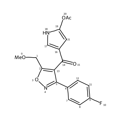 COCc1onc(-c2ccc(F)cc2)c1C(=O)c1c[nH]c(OC(C)=O)c1